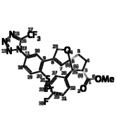 COC(=O)[C@H]1CC[C@@]2(C=C(c3cc(-n4nnnc4C(F)(F)F)ccc3SC(C)C)CO2)[C@@H]1c1ccc(F)cc1